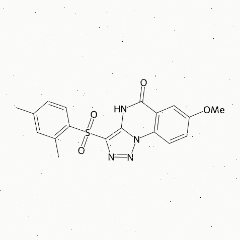 COc1ccc2c(c1)c(=O)[nH]c1c(S(=O)(=O)c3ccc(C)cc3C)nnn12